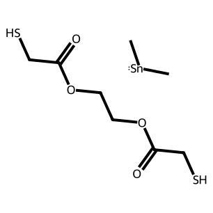 O=C(CS)OCCOC(=O)CS.[CH3][Sn][CH3]